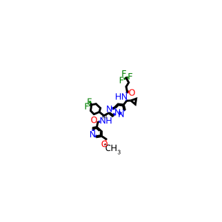 COCc1cncc(C(=O)N[C@H](c2cn3ncc(C(NC(=O)CCC(F)(F)F)C4CC4)cc3n2)C2CCC(F)(F)CC2)c1